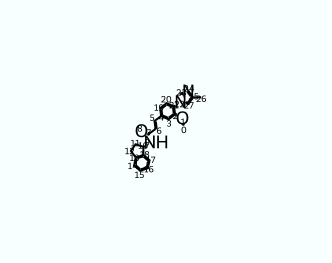 COc1cc(C=CC(=O)NC2CCc3ccccc32)ccc1-n1cnc(C)c1